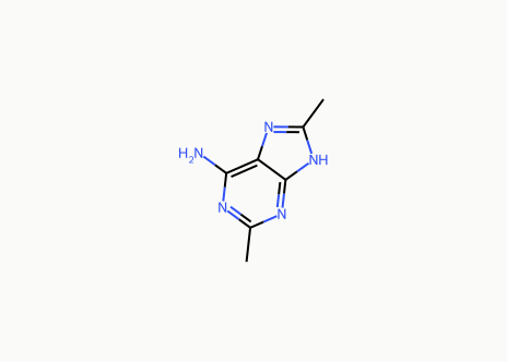 Cc1nc(N)c2nc(C)[nH]c2n1